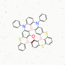 c1ccc(N2c3cc4c(cc3B3c5c2cccc5N(c2ccccc2)c2cc5c6c(c23)Oc2ccccc2B6c2ccccc2S5)B2c3ccccc3Sc3cccc(c32)S4)cc1